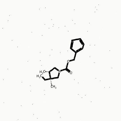 CC[C@]1(C)CN(C(=O)OCc2ccccc2)C[C@H]1C